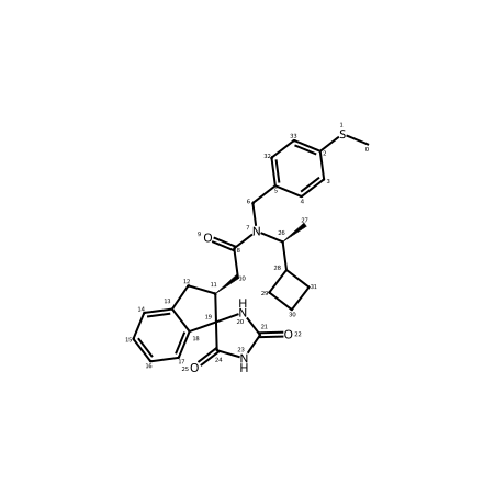 CSc1ccc(CN(C(=O)C[C@@H]2Cc3ccccc3C23NC(=O)NC3=O)[C@@H](C)C2CCC2)cc1